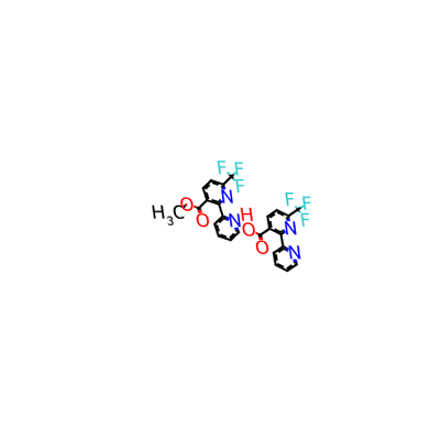 COC(=O)c1ccc(C(F)(F)F)nc1-c1ccccn1.O=C(O)c1ccc(C(F)(F)F)nc1-c1ccccn1